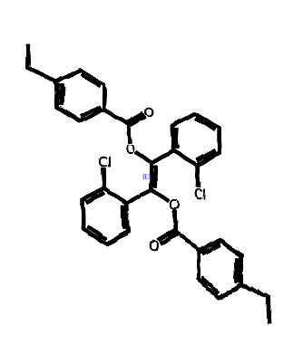 CCc1ccc(C(=O)O/C(=C(/OC(=O)c2ccc(CC)cc2)c2ccccc2Cl)c2ccccc2Cl)cc1